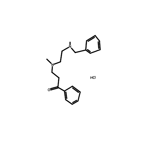 CN(CCC(=O)c1ccccc1)CCN(C)Cc1ccccc1.Cl